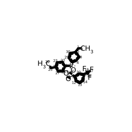 CCc1ccc([I+](OS(=O)(=O)c2cccc(C(F)(F)F)c2)c2ccc(CC)cc2)cc1